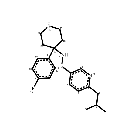 CC(C)Cc1ccc(SNC2(c3ccc(F)cc3)CCNCC2)cn1